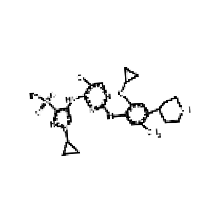 Cc1cc(Nc2ncc(Cl)c(Nc3cn(C4CC4)nc3S(=O)(=O)C(C)C)n2)c(OC2CC2)cc1C1CCNCC1